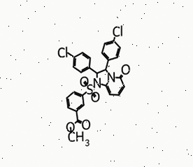 COC(=O)c1cccc(S(=O)(=O)N2c3cccc(=O)n3C(c3ccc(Cl)cc3)C2c2ccc(Cl)cc2)c1